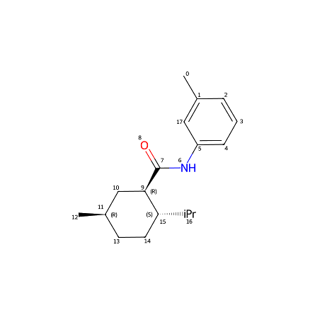 Cc1cccc(NC(=O)[C@@H]2C[C@H](C)CC[C@H]2C(C)C)c1